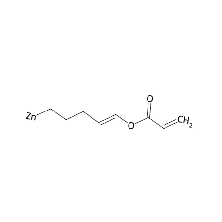 C=CC(=O)OC=CCC[CH2][Zn]